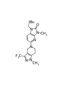 Cn1nc(C(F)(F)F)c2c1CCN(c1ccc3c(n1)n(C)c(=O)n3CC(C)(C)C)C2